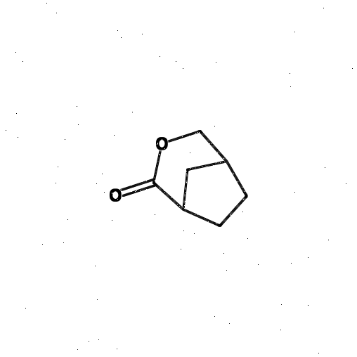 O=C1OCC2CCC1C2